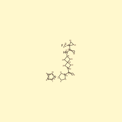 O=C(N1CC[C@H](n2cnnc2)C1)N1CC2(CC(NC(=O)C3(C(F)(F)F)CC3)C2)C1